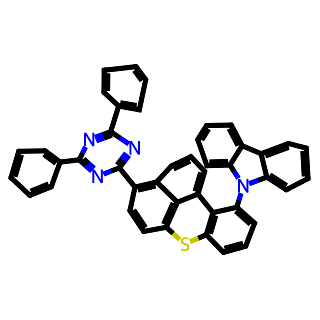 c1ccc(-c2nc(-c3ccccc3)nc(-c3ccc4c5c(cccc35)-c3c(cccc3-n3c5ccccc5c5ccccc53)S4)n2)cc1